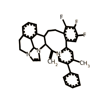 C=C1C2C(CCc3c(cc(F)c(F)c3F)-c3cc(C)c(-c4ccccc4)c[n+]31)c1cccc3c1C1N(C=CN21)CC3